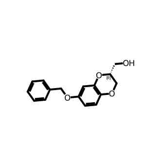 OC[C@@H]1COc2ccc(OCc3ccccc3)cc2O1